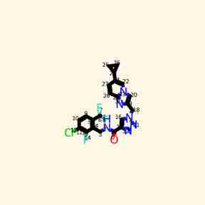 O=C(NCc1c(C(F)F)ccc(Cl)c1F)c1cn(Cc2cn3cc(C4CC4)ccc3n2)nn1